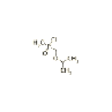 CC(C)OCP(C)(=O)Cl